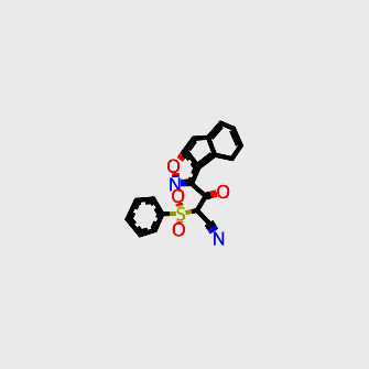 N#CC(C(=O)c1noc2c1=C1CC=CC=C1C=2)S(=O)(=O)c1ccccc1